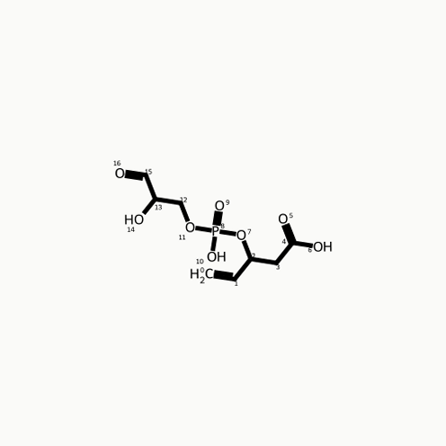 C=CC(CC(=O)O)OP(=O)(O)OCC(O)C=O